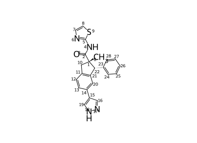 C[C@]1(C(=O)Nc2nccs2)Cc2ccc(-c3cn[nH]c3)cc2[C@H]1c1ccccc1